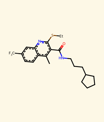 CCSc1nc2cc(C(F)(F)F)ccc2c(C)c1C(=O)NCCCC1CCCC1